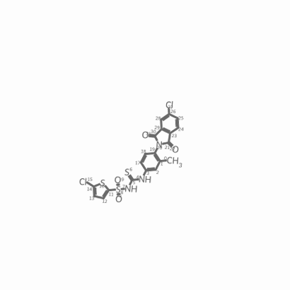 Cc1cc(NC(=S)NS(=O)(=O)c2ccc(Cl)s2)ccc1N1C(=O)c2ccc(Cl)cc2C1=O